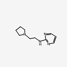 c1cnc(NCCN2CCCC2)nc1